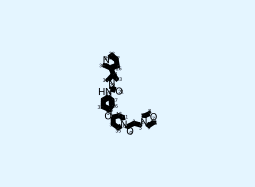 O=C(CCN1CCOCC1)N1CCC(Oc2ccc(NC(=O)N3CC(c4cccnc4)C3)cc2)CC1